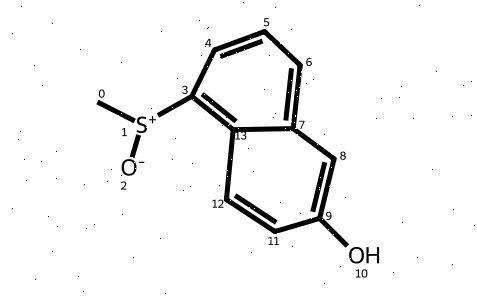 C[S+]([O-])c1cccc2cc(O)ccc12